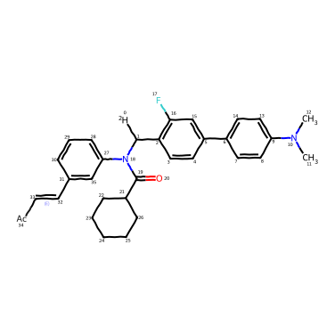 [2H]C(c1ccc(-c2ccc(N(C)C)cc2)cc1F)N(C(=O)C1CCCCC1)c1cccc(/C=C/C(C)=O)c1